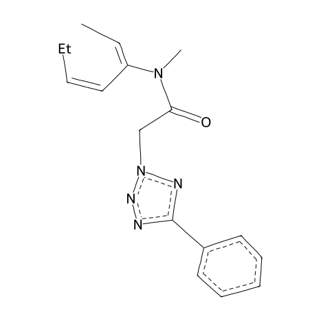 C/C=C(\C=C/CC)N(C)C(=O)Cn1nnc(-c2ccccc2)n1